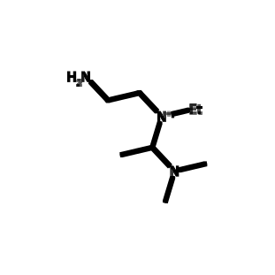 CC[N+](CCN)C(C)N(C)C